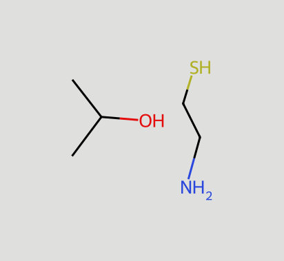 CC(C)O.NCCS